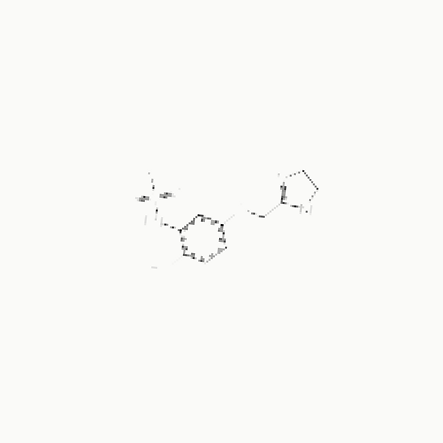 CS(=O)(=O)Nc1cc(OCC2=NCCN2)ccc1O